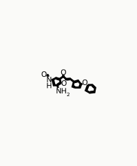 Nc1cc(NC=O)cc2c1O/C(=C\c1cccc(Oc3ccccc3)c1)C2=O